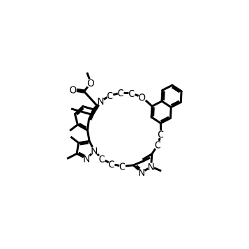 COC(=O)c1c(C)c2c3c(C)ccc2n1CCCOc1cc(cc2ccccc12)CCc1cc(nn1C)CCCn1nc(C)c(C)c1-3